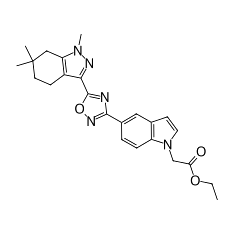 CCOC(=O)Cn1ccc2cc(-c3noc(-c4nn(C)c5c4CCC(C)(C)C5)n3)ccc21